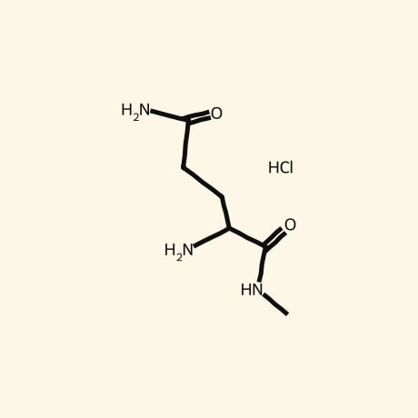 CNC(=O)C(N)CCC(N)=O.Cl